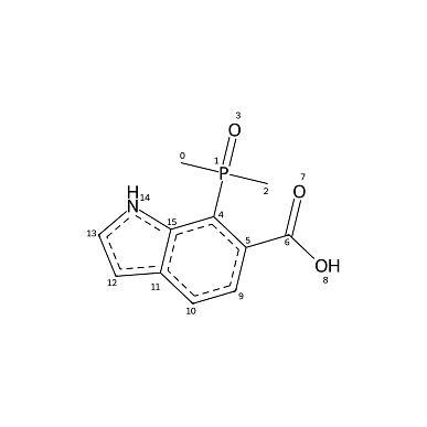 CP(C)(=O)c1c(C(=O)O)ccc2cc[nH]c12